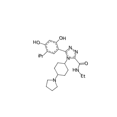 CCNC(=O)c1nnc(-c2cc(C(C)C)c(O)cc2O)n1C1CCC(N2CCCC2)CC1